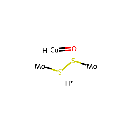 [H+].[H+].[Mo][S][S][Mo].[O]=[Cu]